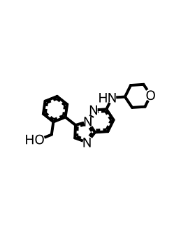 OCc1ccccc1-c1cnc2ccc(NC3CCOCC3)nn12